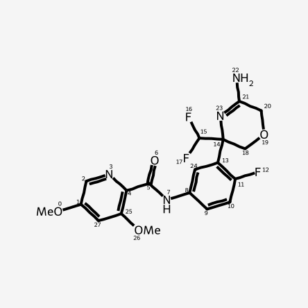 COc1cnc(C(=O)Nc2ccc(F)c(C3(C(F)F)COCC(N)=N3)c2)c(OC)c1